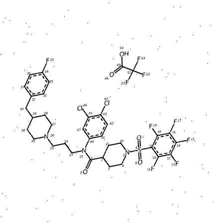 O=C(C1CCN(S(=O)(=O)c2c(F)c(F)c(F)c(F)c2F)CC1)N(CCCN1CCC(Cc2ccc(F)cc2)CC1)c1ccc(Cl)c(Cl)c1.O=C(O)C(F)(F)F